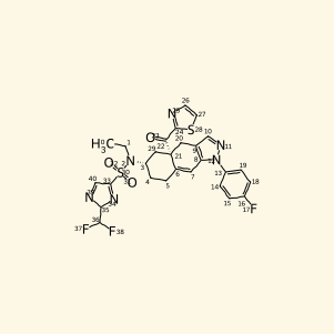 CCN([C@H]1CCC2=Cc3c(cnn3-c3ccc(F)cc3)C[C@]2(C(=O)c2nccs2)C1)S(=O)(=O)C1=NC(C(F)F)N=C1